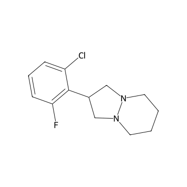 Fc1cccc(Cl)c1C1CN2CCCCN2C1